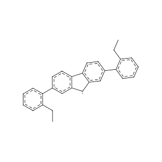 CCc1ccccc1-c1ccc2c(c1)[CH]c1cc(-c3ccccc3CC)ccc1-2